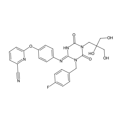 N#Cc1cccc(Oc2ccc(/N=c3\[nH]c(=O)n(CC(O)(CO)CO)c(=O)n3Cc3ccc(F)cc3)cc2)n1